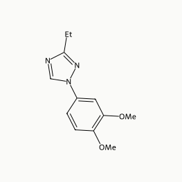 CCc1ncn(-c2ccc(OC)c(OC)c2)n1